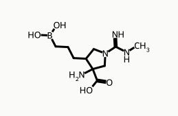 CNC(=N)N1CC(CCCB(O)O)C(N)(C(=O)O)C1